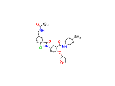 Bc1ccc(NC(=O)c2cc(NC(=O)c3cc(CNC(=O)C(C)(C)C)ccc3Cl)ccc2OC2CCOC2)cc1